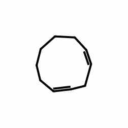 [C]1=CCCCCCC=CC1